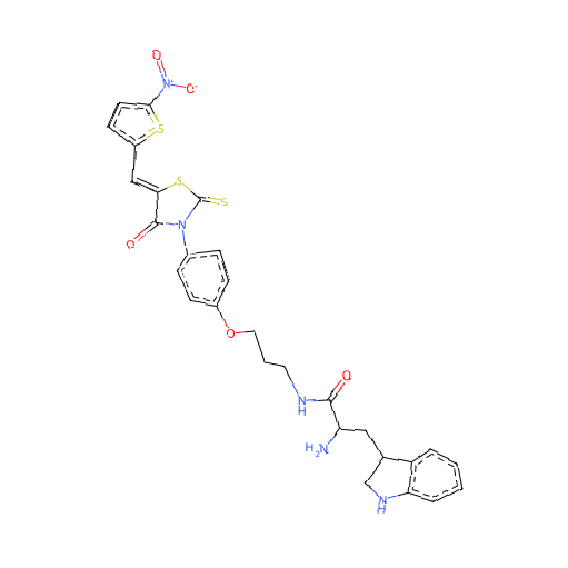 NC(CC1CNc2ccccc21)C(=O)NCCCOc1ccc(N2C(=O)/C(=C/c3ccc([N+](=O)[O-])s3)SC2=S)cc1